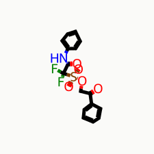 O=C(COS(=O)(=O)C(F)(F)C(=O)Nc1ccccc1)c1ccccc1